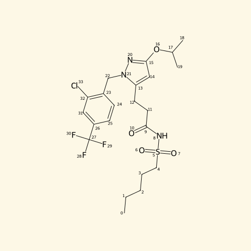 CCCCCS(=O)(=O)NC(=O)CCc1cc(OC(C)C)nn1Cc1ccc(C(F)(F)F)cc1Cl